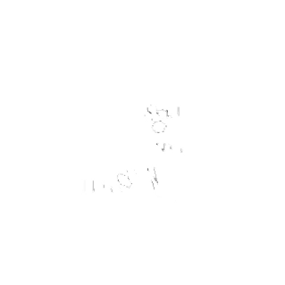 COc1ccc(OCCN(C)CCCN2CCc3cc(OC)c(OC)cc3CC2=O)cc1